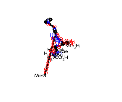 CN[C@H](C(=O)N[C@H](C(=O)N(C)[C@H](/C=C(\C)C(=O)O)C(C)C)C(C)(C)C)C(C)(C)c1cccc(NC(=O)OCc2ccc(O[C@@H]3O[C@H](C(=O)O)[C@@H](O)[C@H](O)[C@H]3O)c(CNC(=O)CCNC(=O)[C@H](CNC(=O)CCOCCOCCOCCOCCOCCOCCOCCOCCOCCOCCOCCOC)NC(=O)C3CCC4(CC3)CCN(C(=O)CCCCC(=O)N3Cc5ccccc5/C=C\c5ccccc53)CC4)c2)c1